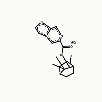 CC1(C)[C@H](NC(=O)c2cn3ccnc3cn2)C2CCN1CC2.Cl